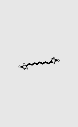 O=C1N=NC(CCCCCCCCC2N=NC(=O)O2)O1